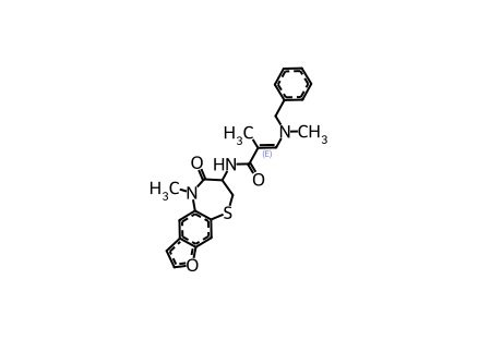 C/C(=C\N(C)Cc1ccccc1)C(=O)NC1CSc2cc3occc3cc2N(C)C1=O